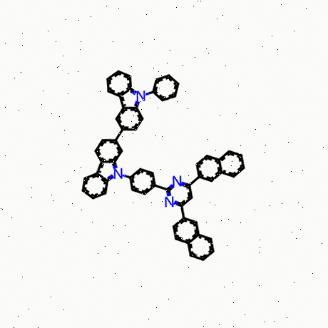 c1ccc(-n2c3ccccc3c3cc(-c4ccc5c6ccccc6n(-c6ccc(-c7nc(-c8ccc9ccccc9c8)cc(-c8ccc9ccccc9c8)n7)cc6)c5c4)ccc32)cc1